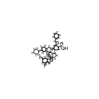 O=C(O)c1ccc(N(Cc2ccc(C3CCCCC3)cc2)C(=O)[C@H]2CCCN2S(=O)(=O)c2cc(F)cc(F)c2F)cc1OCc1ccccc1